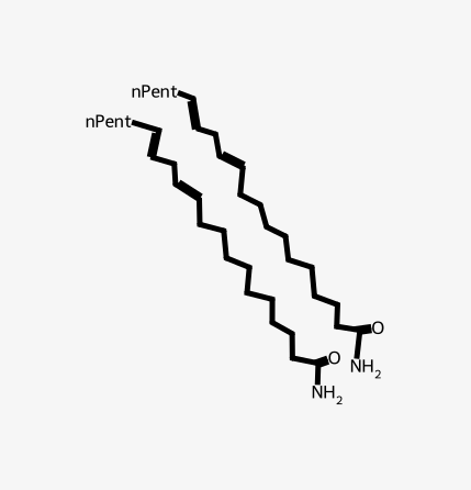 CCCCCC=CCC=CCCCCCCCCCC(N)=O.CCCCCC=CCC=CCCCCCCCCCC(N)=O